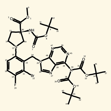 COC(=O)[C@@]1(NC(=O)OC(C)(C)C)CCN(c2ccc(F)c(Br)c2Cn2cnc3c(N(C(=O)OC(C)(C)C)C(=O)OC(C)(C)C)ncnc32)C1